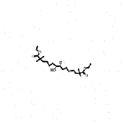 CCOC(=O)C(C)(C)CCCCC[C@H](O)[C@@H](O)CCCCC(C)(C)C(=O)OCC